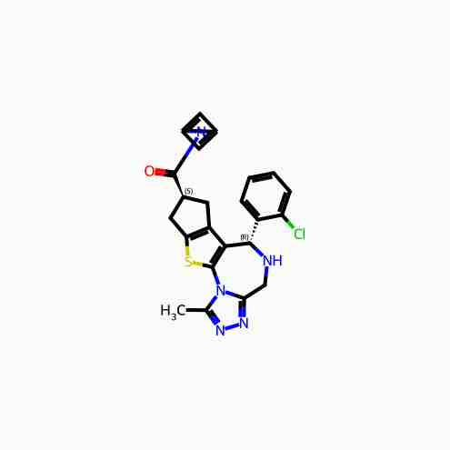 Cc1nnc2n1-c1sc3c(c1[C@H](c1ccccc1Cl)NC2)C[C@H](C(=O)N1CC2=CC1=C2)C3